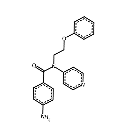 Nc1ccc(C(=O)N(CCOc2ccccc2)c2ccncc2)cc1